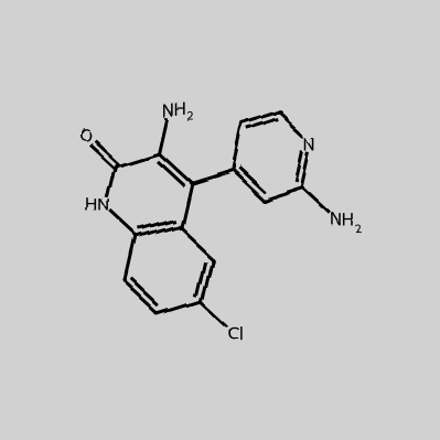 Nc1cc(-c2c(N)c(=O)[nH]c3ccc(Cl)cc23)ccn1